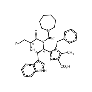 Cc1c(C(=O)O)nc([C@@H](Cc2c[nH]c3ccccc23)N(C(=O)[C@@H](N)CC(C)C)C(=O)N2CCCCCC2)n1Cc1ccccc1